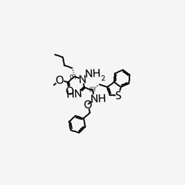 CCCC[C@@H](C(=O)OC)N(N)C(=N)[C@H](Cc1csc2ccccc12)NOCc1ccccc1